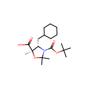 CC(C)(C)OC(=O)N1[C@@H](CC2CCCCC2)[C@](C)(C(=O)O)OC1(C)C